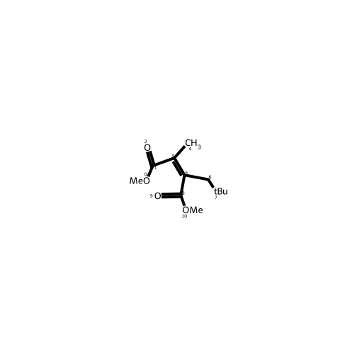 COC(=O)C(C)=C(CC(C)(C)C)C(=O)OC